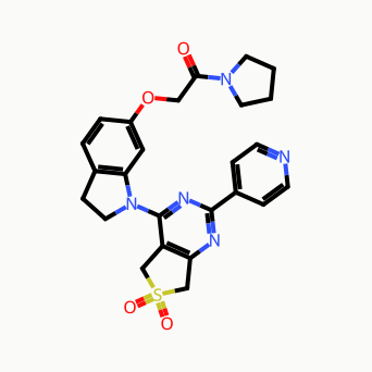 O=C(COc1ccc2c(c1)N(c1nc(-c3ccncc3)nc3c1CS(=O)(=O)C3)CC2)N1CCCC1